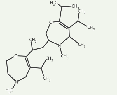 CC(C)C1=C(C(C)CC2COC(C(C)C)=C(C(C)C)C(C)N2C)OCCN(C)C1